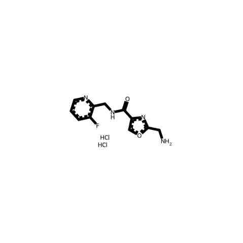 Cl.Cl.NCc1nc(C(=O)NCc2ncccc2F)co1